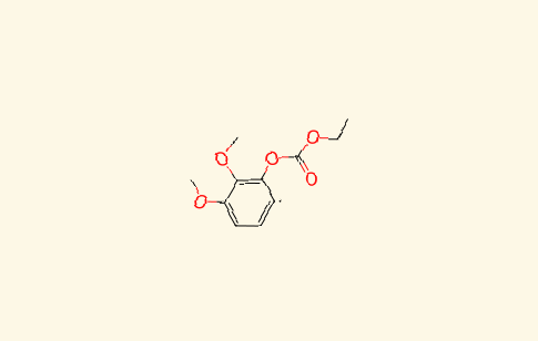 CCOC(=O)Oc1[c]ccc(OC)c1OC